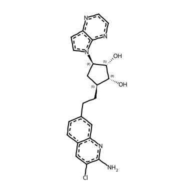 Nc1nc2cc(CC[C@H]3C[C@@H](n4ccc5nccnc54)[C@H](O)[C@@H]3O)ccc2cc1Cl